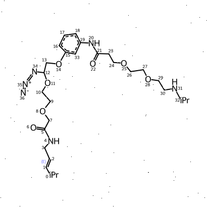 CC(C)/C=C/CNC(=O)COCCOC(COc1cccc(NC(=O)CCOCCOCCNC(C)C)c1)N=[N+]=[N-]